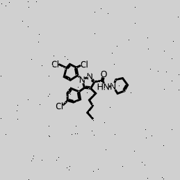 CCCCCc1c(C(=O)NN2CC=CCC2)nn(-c2ccc(Cl)cc2Cl)c1-c1ccc(Cl)cc1